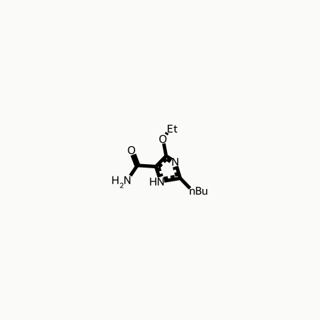 CCCCc1nc(OCC)c(C(N)=O)[nH]1